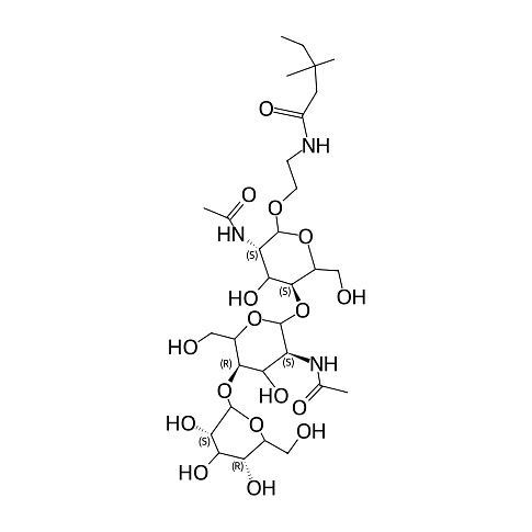 CCC(C)(C)CC(=O)NCCOC1OC(CO)[C@@H](OC2OC(CO)[C@H](OC3OC(CO)[C@H](O)C(O)[C@@H]3O)C(O)[C@@H]2NC(C)=O)C(O)[C@@H]1NC(C)=O